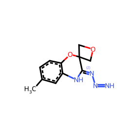 Cc1ccc2c(c1)N/C(=N\N=N)C1(COC1)O2